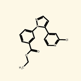 CCOC(=O)c1cccc(-n2nccc2-c2ccnc(Cl)c2)c1